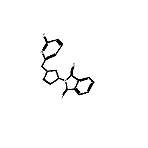 O=C1c2ccccc2C(=O)N1C1CCC(Cc2cccc(F)n2)C1